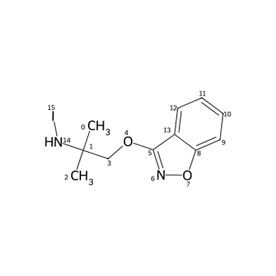 CC(C)(COc1noc2ccccc12)NI